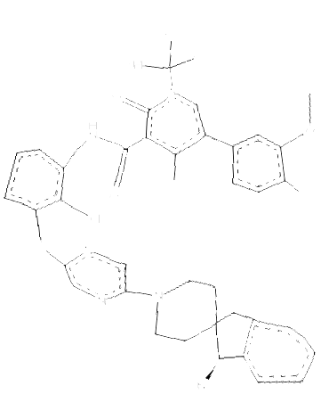 [2H]C([2H])([2H])n1cc(-c2ccc(O)c(OC)c2)c(O)c(C(=O)Nc2cccc(Sc3cnc(N4CCC5(CC4)Cc4ccccc4[C@H]5N)cn3)c2Cl)c1=O